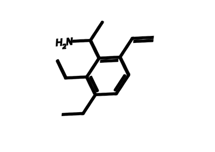 C=Cc1ccc(CC)c(CC)c1C(C)N